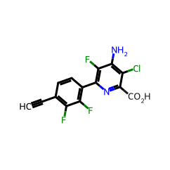 C#Cc1ccc(-c2nc(C(=O)O)c(Cl)c(N)c2F)c(F)c1F